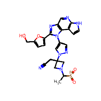 CC(N1CC(CC#N)(n2cc(-n3c(-c4ccc(CO)o4)nc4cnc5[nH]ccc5c43)cn2)C1)[SH](=O)=O